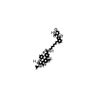 CN(c1ccccc1)c1c(C(=O)NC2CC2)cnc2cc(C(F)(F)F)c(-c3ccc(C(=O)NCCCCCCCc4cccc5c4CN(C4CCC(=O)NC4=O)C5=O)c(F)c3)cc12